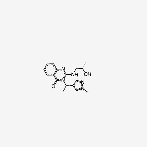 CC(c1cnn(C)c1)n1c(NC[C@H](C)O)nc2ccccc2c1=O